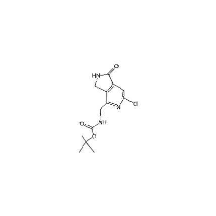 CC(C)(C)OC(=O)NCc1nc(Cl)cc2c1CNC2=O